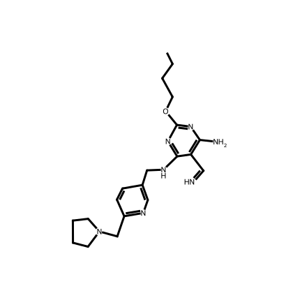 CCCCOc1nc(N)c(C=N)c(NCc2ccc(CN3CCCC3)nc2)n1